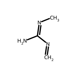 C=N/C(N)=N\C